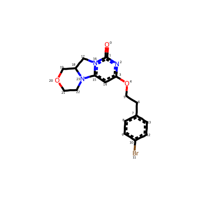 O=c1nc(OCCc2ccc(Br)cc2)cc2n1CC1COCCN21